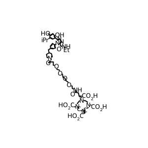 CCNC(=O)c1nnc(-c2cc(C(C)C)c(O)cc2O)n1-c1ccc(CC2CCN(C(=O)CCOCCOCCOCCOCCNC(=O)CC[C@H](C(=O)O)N3CCN(CC(=O)O)CCN(CC(=O)O)CCN(CC(=O)O)CC3)CC2)cc1